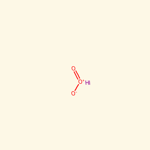 I.O=[O+][O-]